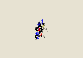 Cc1cc(C(=O)Nc2cccnc2C)ccc1[C@@H]1SCCNc2c1c(-c1ccccn1)nn2C